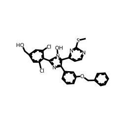 CSc1nccc(-c2c(-c3cccc(OCc4ccccc4)c3)nc(-c3c(Cl)cc(CO)cc3Cl)n2O)n1